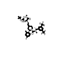 COC(=O)[C@@H](CC=C1CCN(C(=O)N(C)[C@H](C)c2cc(C(F)(F)F)cc(C(F)(F)F)c2)[C@@H](c2ccc(F)cc2C)C1)NC(=O)OC(C)(C)C